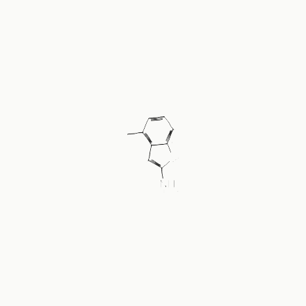 Cc1cccc2sc(N)cc12